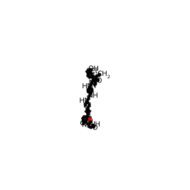 C=CCn1c(=O)c2cnc(Nc3ccc(NCCNC4CCN(C5CC(n6ccc7c8c(C9CCC(=O)NC9=O)noc8ccc76)C5)CC4)cc3)nc2n1-c1ccc2c(n1)[C@@](O)(CC)CC2